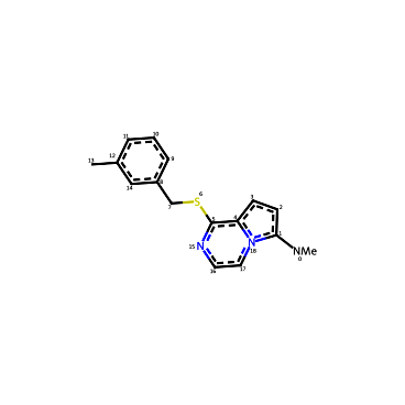 CNc1ccc2c(SCc3cccc(C)c3)nccn12